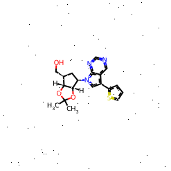 CC1(C)O[C@@H]2[C@@H](CO)C[C@@H](n3cc(-c4cccs4)c4cncnc43)[C@@H]2O1